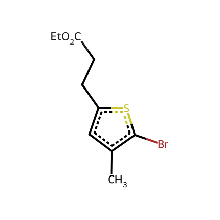 CCOC(=O)CCc1cc(C)c(Br)s1